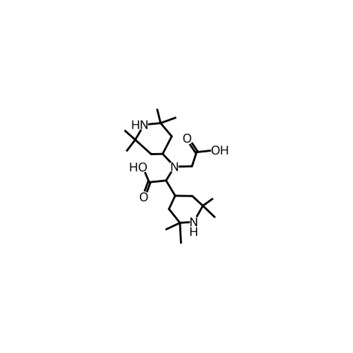 CC1(C)CC(C(C(=O)O)N(CC(=O)O)C2CC(C)(C)NC(C)(C)C2)CC(C)(C)N1